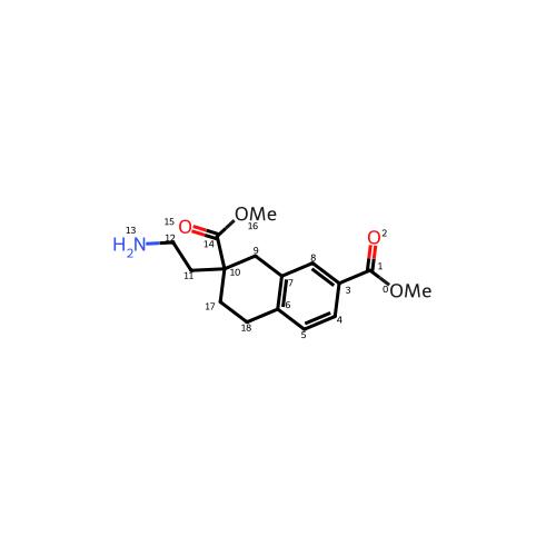 COC(=O)c1ccc2c(c1)CC(CCN)(C(=O)OC)CC2